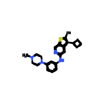 CN1CCN(c2cccc(Nc3cc4c(C5CCC5)c(C#N)sc4cn3)c2)CC1